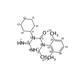 CCN(C(=O)N(C(=N)N)C1CCCCC1)c1c(C)cccc1C